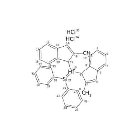 CC1=Cc2ccccc2[CH]1[Hf]([CH]1C(C)=Cc2ccccc21)=[Si](c1ccccc1)c1ccccc1.Cl.Cl